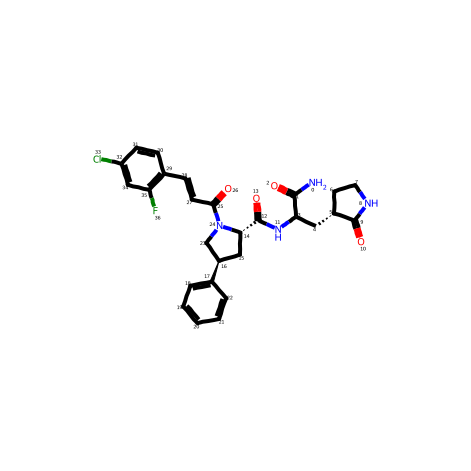 NC(=O)C(C[C@@H]1CCNC1=O)NC(=O)[C@@H]1C[C@@H](c2ccccc2)CN1C(=O)/C=C/c1ccc(Cl)cc1F